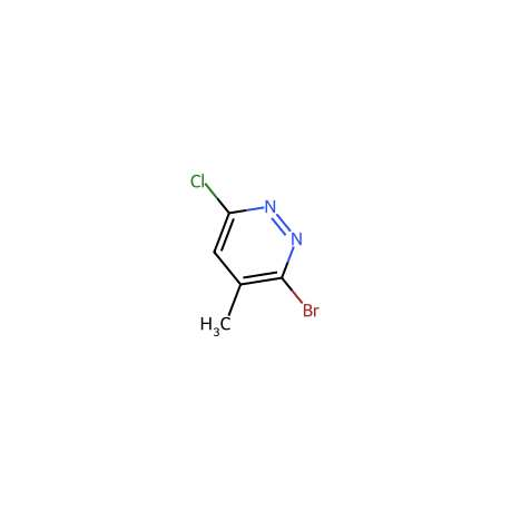 Cc1cc(Cl)nnc1Br